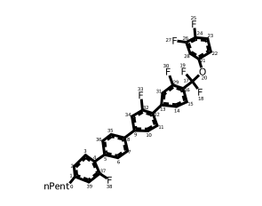 CCCCCc1ccc(-c2ccc(-c3ccc(-c4ccc(C(F)(F)Oc5ccc(F)c(F)c5)c(F)c4)c(F)c3)cc2)c(F)c1